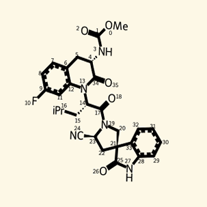 COC(=O)N[C@H]1Cc2ccc(F)cc2N([C@@H](CC(C)C)C(=O)N2C[C@]3(C[C@H]2C#N)C(=O)Nc2ccccc23)C1=O